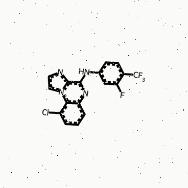 Fc1cc(Nc2nc3cccc(Cl)c3n3ccnc23)ccc1C(F)(F)F